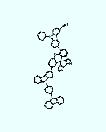 N#Cc1ccc2c(c1)c1cc(-c3cccc4c3Sc3ccc(-c5ccc6c(c5)c5ccccc5n6-c5ccc(-n6c7ccccc7c7ccccc76)cc5)cc3C43c4cccnc4-c4ncccc43)ccc1n2-c1ccccc1